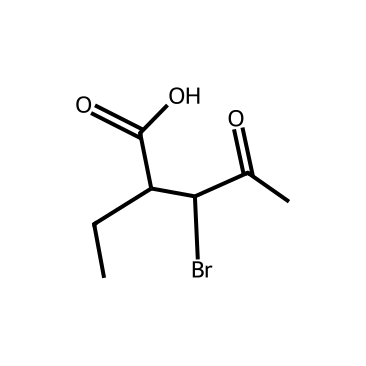 CCC(C(=O)O)C(Br)C(C)=O